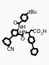 CC(C)(C)c1ccc(C(=O)Nc2ccc(-c3cccc(C#N)c3)cc2C(=O)NC(CC(=O)O)c2ccc(-c3ccccc3)cc2)cc1